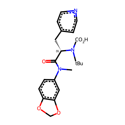 CN(C(=O)[C@H](Cc1ccncc1)N(C(=O)O)C(C)(C)C)c1ccc2c(c1)OCO2